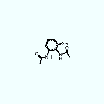 CC(=O)Nc1cccc(S)c1NC(C)=O